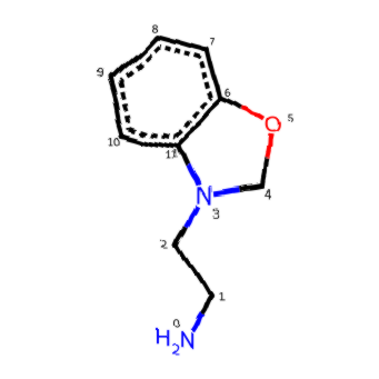 NCCN1COc2ccccc21